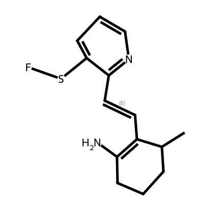 CC1CCCC(N)=C1/C=C/c1ncccc1SF